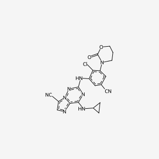 N#Cc1cc(Nc2nc(NC3CC3)c3ncc(C#N)n3n2)c(Cl)c(N2CCCOC2=O)c1